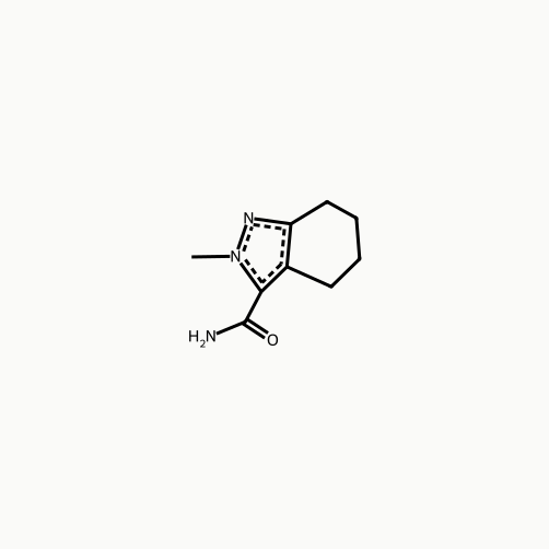 Cn1nc2c(c1C(N)=O)CCCC2